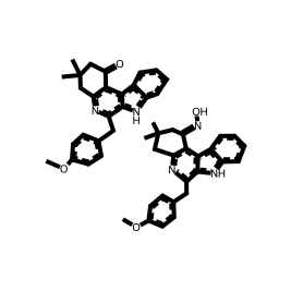 COc1ccc(Cc2nc3c(c4c2[nH]c2ccccc24)C(=NO)CC(C)(C)C3)cc1.COc1ccc(Cc2nc3c(c4c2[nH]c2ccccc24)C(=O)CC(C)(C)C3)cc1